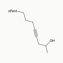 CCCCCCCCC#CCC(C)O